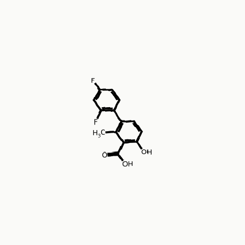 Cc1c(-c2ccc(F)cc2F)ccc(O)c1C(=O)O